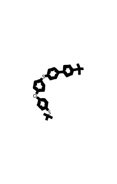 CC(C)(C)Sc1ccc(Oc2ccc(Sc3ccc(-c4ccc(C(C)(C)C)cc4)cc3)cc2)cc1